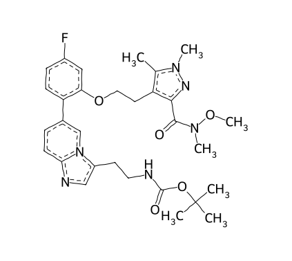 CON(C)C(=O)c1nn(C)c(C)c1CCOc1cc(F)ccc1-c1ccc2ncc(CCNC(=O)OC(C)(C)C)n2c1